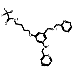 O=C(NCCCCOc1cc(CNCc2ccccn2)cc(NCc2ccccn2)c1)C(F)(F)F